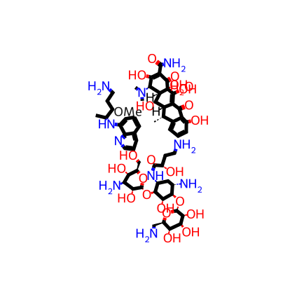 COc1cc(NC(C)CCCN)c2ncccc2c1.C[C@H]1c2cccc(O)c2C(=O)C2=C(O)[C@]3(O)C(=O)C(C(N)=O)=C(O)[C@@H](N(C)C)[C@@H]3[C@@H](O)[C@@H]21.NCC[C@H](O)C(=O)N[C@@H]1C[C@H](N)[C@@H](O[C@H]2O[C@H](CN)[C@@H](O)[C@H](O)[C@H]2O)[C@H](O)[C@H]1O[C@H]1O[C@H](CO)[C@@H](O)[C@H](N)[C@H]1O.O